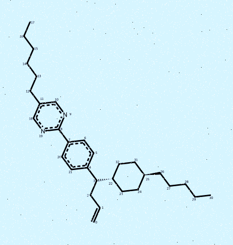 C=CCC(c1ccc(-c2ncc(CCCCCC)cn2)cc1)[C@H]1CC[C@H](CCCCC)CC1